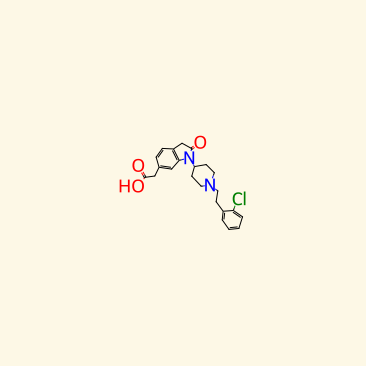 O=C(O)Cc1ccc2c(c1)N(C1CCN(CCc3ccccc3Cl)CC1)C(=O)C2